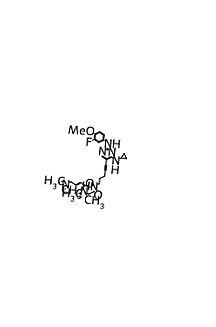 COc1ccc(Nc2ncc(C#CCCCNC(=O)[C@H](C)N(C)C(=O)/C=C/CN(C)C)c(NC3CC3)n2)cc1F